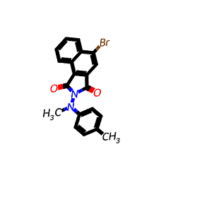 Cc1ccc(N(C)N2C(=O)c3cc(Br)c4ccccc4c3C2=O)cc1